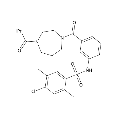 Cc1cc(S(=O)(=O)Nc2cccc(C(=O)N3CCCN(C(=O)C(C)C)CC3)c2)c(C)cc1Cl